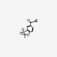 CC1(C)Oc2ccc(C(=O)C3CC3)cc2S1(=O)=O